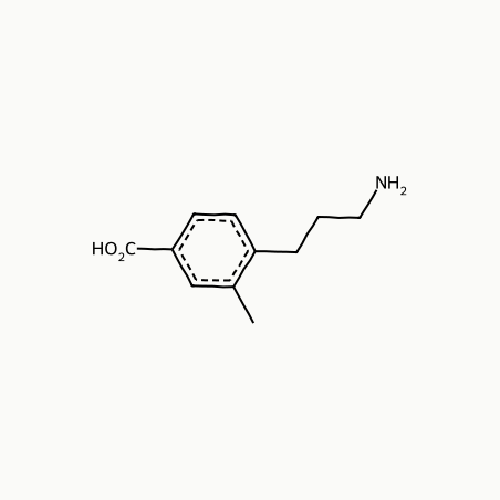 Cc1cc(C(=O)O)ccc1CCCN